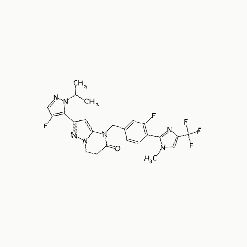 CC(C)n1ncc(F)c1-c1cc2n(n1)CCC(=O)N2Cc1ccc(-c2nc(C(F)(F)F)cn2C)c(F)c1